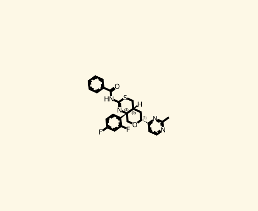 Cc1nccc([C@H]2C[C@H]3CSC(NC(=O)c4ccccc4)=N[C@@]3(c3ccc(F)cc3F)CO2)n1